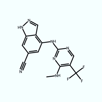 CNc1nc(Nc2cc(C#N)cc3[nH]ncc23)ncc1C(F)(F)F